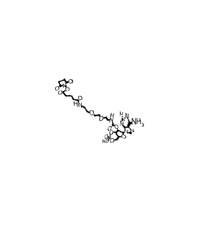 C/N=C1\C(=C(N)N)N=CN1C1OC2COP(=O)(O)OC2C1OC(=O)NCCOCCOCCNC(=O)CCCC(=O)ON1C(=O)CCC1=O